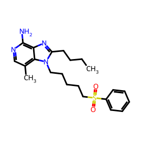 CCCCc1nc2c(N)ncc(C)c2n1CCCCCS(=O)(=O)c1ccccc1